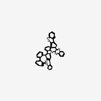 c1ccc2c(c1)-c1ccccc1-n1c3ccccc3c3cc4c(c-2c31)c1ccccc1n4-c1nc2ccccc2nc1-c1ccc2sc3ccccc3c2c1